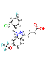 O=C(O)CCCc1nn(Cc2ccc(F)cc2Cl)c2cc(OC(F)(F)F)ccc12